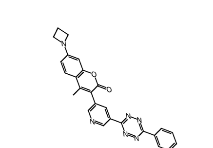 Cc1c(-c2cncc(-c3nnc(-c4ccccc4)nn3)c2)c(=O)oc2cc(N3CCC3)ccc12